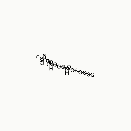 COCCOCCOCCOCCOCCOCCC(=O)NCCOCCOCCOCCNS(=O)(=O)c1ccc(C2CN(C)Cc3c(Cl)cc(Cl)cc32)cc1